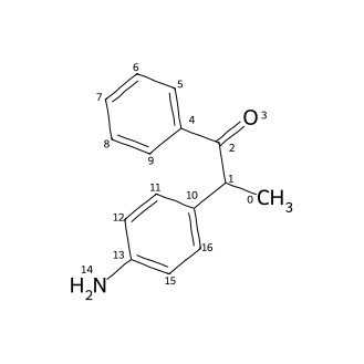 CC(C(=O)c1ccccc1)c1ccc(N)cc1